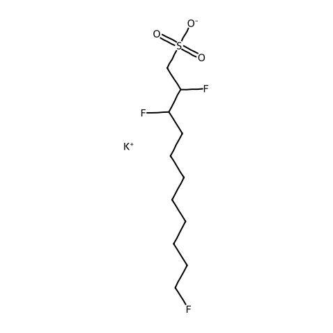 O=S(=O)([O-])CC(F)C(F)CCCCCCCCF.[K+]